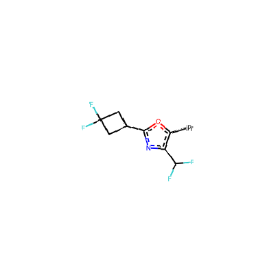 CC(C)c1oc(C2CC(F)(F)C2)nc1C(F)F